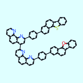 c1cnc2c(c1)ccc1c(-c3ccc4ccc5ccc(-c6ccc(-c7ccc8c(ccc9c%10ccccc%10oc89)c7)cc6)nc5c4n3)cc(-c3ccc(-c4ccc5c(ccc6c7ccccc7sc56)c4)cc3)nc12